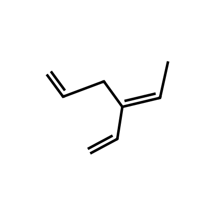 C=CC/C(C=C)=C\C